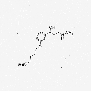 COCCCCOc1cccc(C(O)CCNN)c1